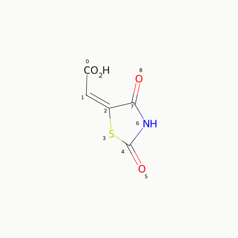 O=C(O)C=C1SC(=O)NC1=O